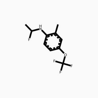 Cc1cc(OC(F)(F)F)ccc1NC(C)F